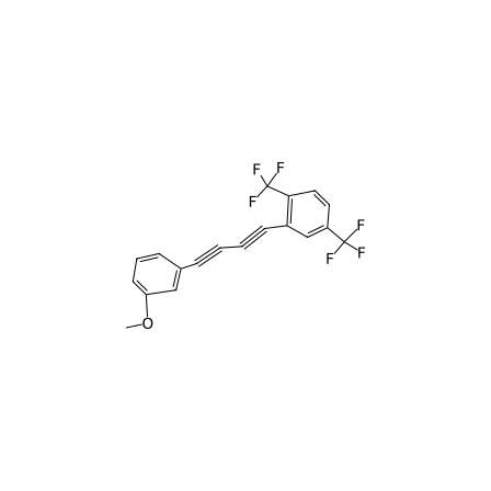 COc1cccc(C#CC#Cc2cc(C(F)(F)F)ccc2C(F)(F)F)c1